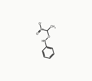 CC(ONc1ccccc1)[N+](=O)[O-]